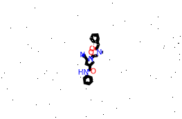 CN(CC(=O)N1CC(C(=O)Nc2ccccc2)CC1C#N)C(=O)Cc1ccccc1